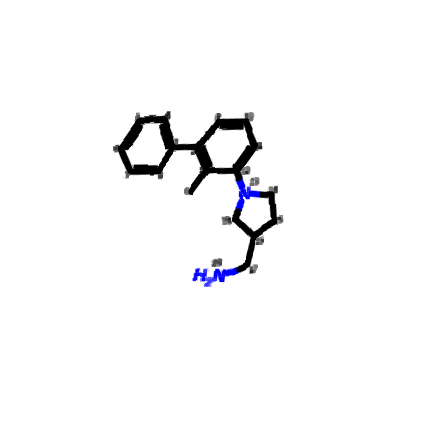 Cc1c(-c2ccccc2)cccc1N1CCC(CN)C1